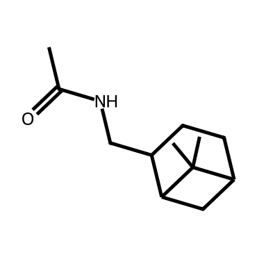 CC(=O)NCC1CCC2CC1C2(C)C